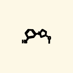 CO[C@H]1CCN(c2cccc(S)c2)C1